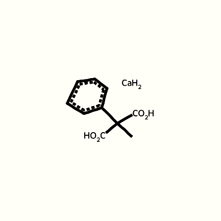 CC(C(=O)O)(C(=O)O)c1ccccc1.[CaH2]